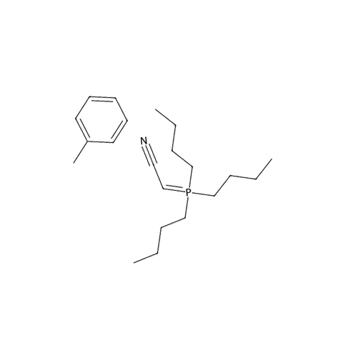 CCCCP(=CC#N)(CCCC)CCCC.Cc1ccccc1